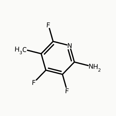 Cc1c(F)nc(N)c(F)c1F